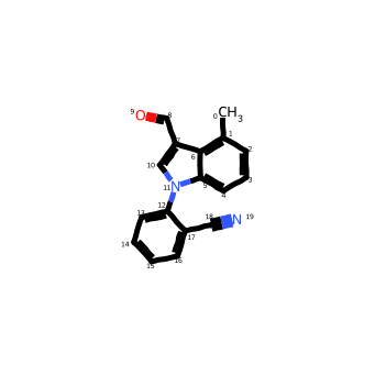 Cc1cccc2c1c(C=O)cn2-c1ccccc1C#N